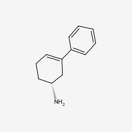 N[C@@H]1CCC=C(c2ccccc2)C1